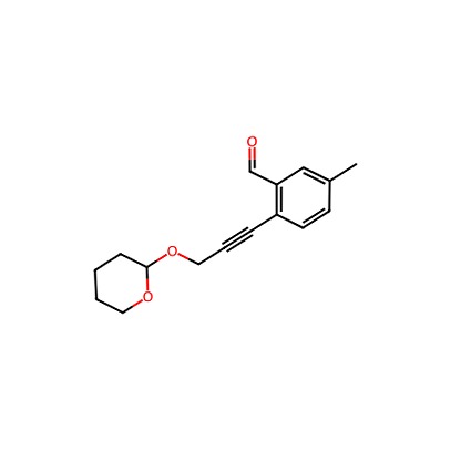 Cc1ccc(C#CCOC2CCCCO2)c(C=O)c1